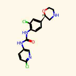 O=C(Nc1ccc(Cl)nc1)Nc1ccc([C@@H]2CNCCO2)cc1Cl